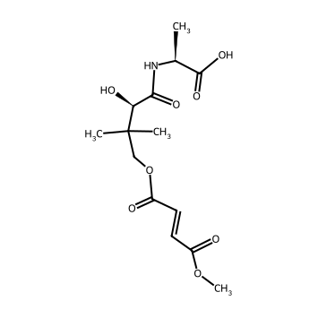 COC(=O)/C=C/C(=O)OCC(C)(C)[C@@H](O)C(=O)N[C@@H](C)C(=O)O